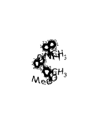 COC(=O)c1ccc([C@@H]2C[C@H](CN[C@H](C)c3cccc4ccccc34)Oc3ccccc32)cc1C